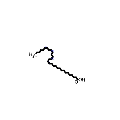 CCCCC/C=C\C/C=C\C/C=C\C/C=C\CCCCCCCCCCCCCC(=O)O